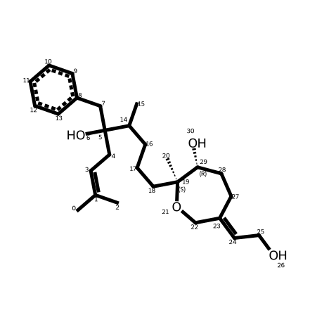 CC(C)=CCC(O)(Cc1ccccc1)C(C)CCC[C@]1(C)OCC(=CCO)CC[C@H]1O